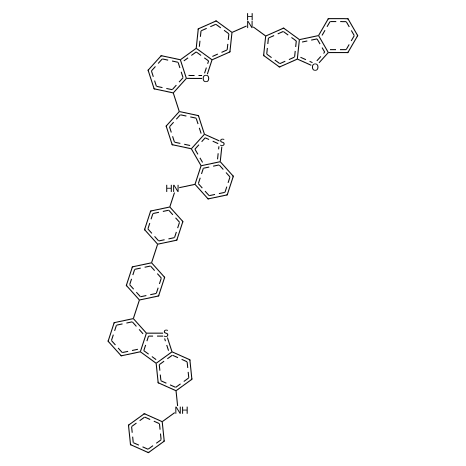 c1ccc(Nc2ccc3sc4c(-c5ccc(-c6ccc(Nc7cccc8sc9cc(-c%10cccc%11c%10oc%10cc(Nc%12ccc%13oc%14ccccc%14c%13c%12)ccc%10%11)ccc9c78)cc6)cc5)cccc4c3c2)cc1